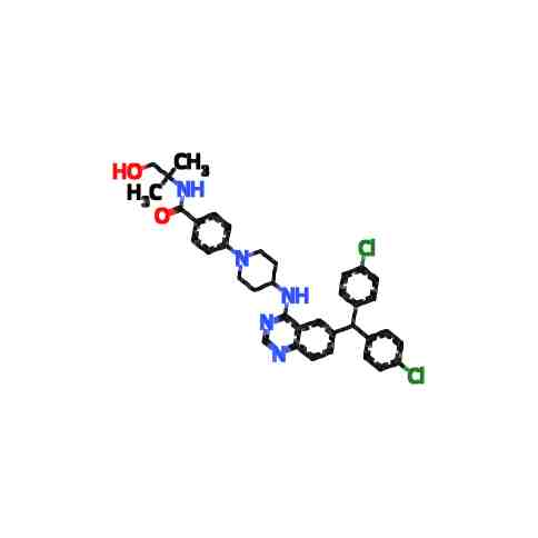 CC(C)(CO)NC(=O)c1ccc(N2CCC(Nc3ncnc4ccc(C(c5ccc(Cl)cc5)c5ccc(Cl)cc5)cc34)CC2)cc1